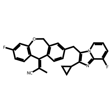 CC(C#N)=C1c2ccc(Cc3c(C4CC4)nc4c(F)cccn34)cc2COc2cc(F)ccc21